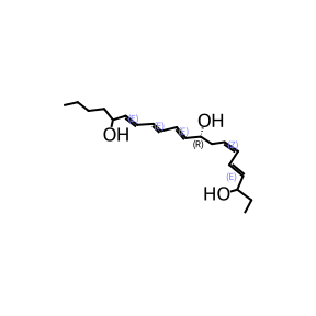 CCCCC(O)/C=C/C=C/C=C/[C@H](O)C/C=C\C=C\C(O)CC